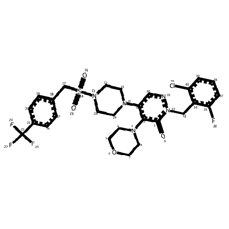 O=c1c(N2CCOCC2)c(N2CCN(S(=O)(=O)Cc3ccc(C(F)(F)F)cc3)CC2)cnn1Cc1c(F)cccc1Cl